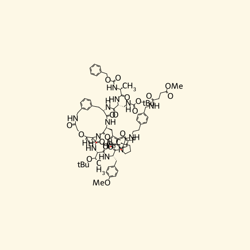 COC(=O)CCC(=O)NCc1ccc(CCNC(=O)[C@]2(C)CCCN2C(=O)[C@H](Cc2ccc(OC)cc2)NC(=O)[C@@H](NC(=O)[C@@H]2[C@@H]3CCN2C(=O)[C@H](Cc2c[nH]c4ccc(F)cc24)NC(=O)[C@@H](NC(=O)[C@@H](CNC(=O)OC(C)(C)C)NC(=O)[C@H](C)NC(=O)OCc2ccccc2)Cc2cccc(c2)CNC(=O)CO3)[C@@H](C)OC(C)(C)C)cc1